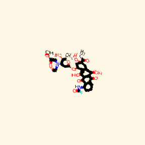 CO[C@@H]1CN([C@H]2C[C@H](O[C@H]3C[C@](O)(C(C)=O)Cc4c(O)c5c(c(O)c43)C(=O)c3c(NC(=O)F)cccc3C5=O)O[C@@H](C)[C@H]2O)CCO1